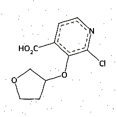 O=C(O)c1ccnc(Cl)c1OC1CCOC1